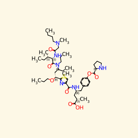 CCCCN(C)CC(=O)N[C@H](C(=O)N(CCC)[C@H](C[C@@H](OCCC)c1nc(C(=O)N[C@@H](Cc2ccc(OC(=O)[C@H]3CCCN3)cc2)C[C@H](C)C(=O)O)cs1)C(C)C)[C@@H](C)CC